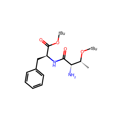 C[C@@H](OC(C)(C)C)[C@H](N)C(=O)N[C@@H](Cc1ccccc1)C(=O)OC(C)(C)C